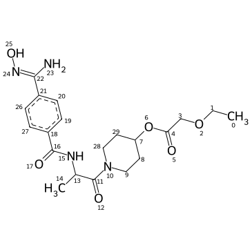 CCOCC(=O)OC1CCN(C(=O)C(C)NC(=O)c2ccc(C(N)=NO)cc2)CC1